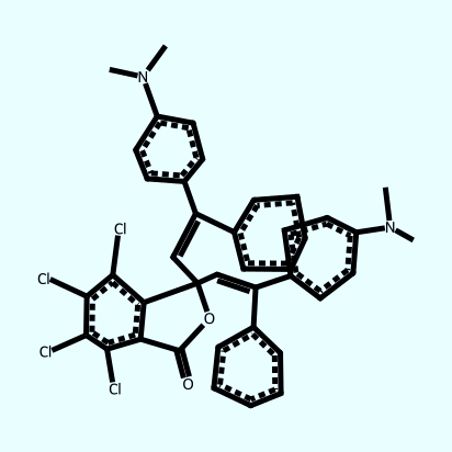 CN(C)c1ccc(C(=CC2(C=C(c3ccccc3)c3ccc(N(C)C)cc3)OC(=O)c3c(Cl)c(Cl)c(Cl)c(Cl)c32)c2ccccc2)cc1